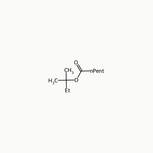 CCCCCC(=O)OC(C)(C)CC